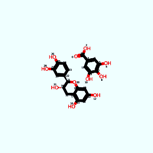 O=C(O)c1cc(O)c(O)c(O)c1.Oc1cc(O)c2c(c1)O[C@H](c1ccc(O)c(O)c1)[C@@H](O)C2